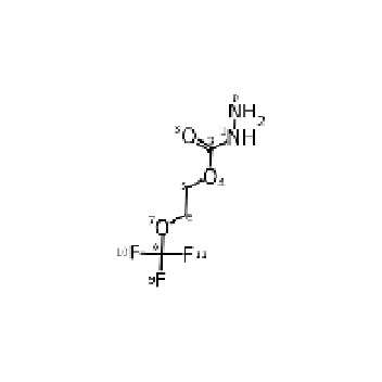 NNC(=O)OCCOC(F)(F)F